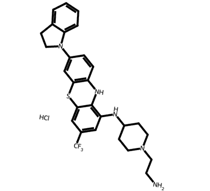 Cl.NCCN1CCC(Nc2cc(C(F)(F)F)cc3c2Nc2ccc(N4CCc5ccccc54)cc2S3)CC1